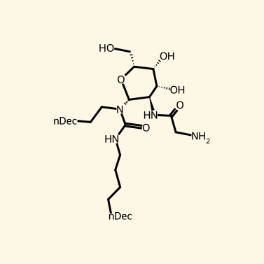 CCCCCCCCCCCCCCNC(=O)N(CCCCCCCCCCCC)[C@@H]1O[C@H](CO)[C@H](O)[C@H](O)[C@H]1NC(=O)CN